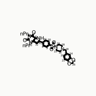 CCCn1c(=O)c2[nH]c(-c3ccc(S(=O)(=O)N4CCN(Cc5ccc6c(c5)OCO6)CC4)cc3)cc2n(CCC)c1=O